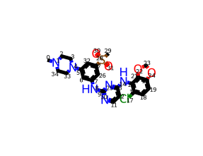 CN1CCN(c2cc(Nc3nccc(Nc4c(Cl)ccc5c4OCO5)n3)cc(S(C)(=O)=O)c2)CC1